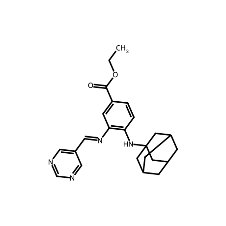 CCOC(=O)c1ccc(NC23CC4CC(CC(C4)C2)C3)c(N=Cc2cncnc2)c1